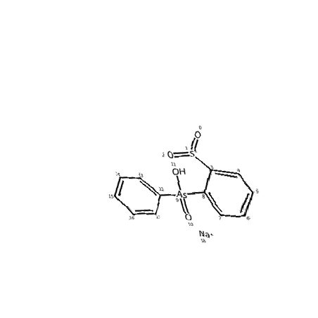 O=[S-](=O)c1ccccc1[As](=O)(O)c1ccccc1.[Na+]